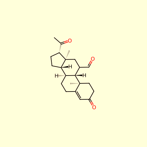 CC(=O)[C@H]1CC[C@H]2[C@@H]3CCC4=CC(=O)CC[C@]4(C)[C@H]3C(C=O)C[C@]12C